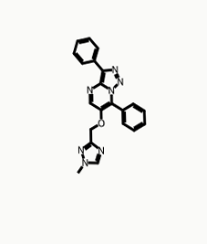 Cn1cnc(COc2cnc3c(-c4ccccc4)nnn3c2-c2ccccc2)n1